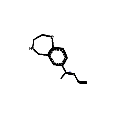 C=C/C=C(\C)c1ccc2c(c1)CNCCO2